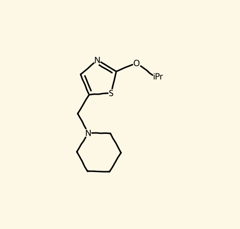 CC(C)Oc1ncc(CN2CCCCC2)s1